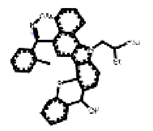 CCCCC(CC)Cn1c2ccc3c(c2c2cc(/C(=N\OC(C)=O)c4ccccc4C)c4ccccc4c21)Sc1ccccc1C3O